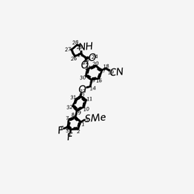 CSc1cc(F)c(F)cc1-c1ccc(OCc2cc(CC#N)cc(OC(=O)C3CCCN3)c2)cc1